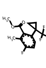 COC(=O)c1c(C2(C(F)(F)F)CC2)ccc(F)c1C